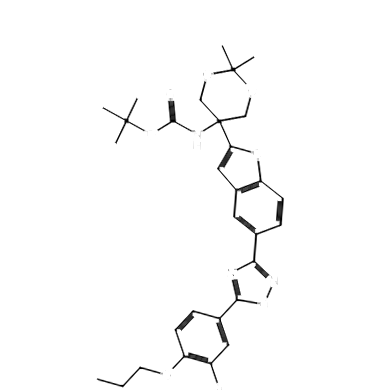 CCCOc1ccc(-c2nc(-c3ccc4oc(C5(NC(=O)OC(C)(C)C)COC(C)(C)OC5)cc4c3)no2)cc1Br